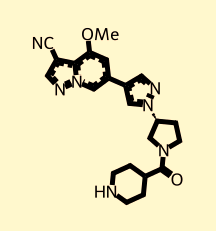 COc1cc(-c2cnn([C@@H]3CCN(C(=O)C4CCNCC4)C3)c2)cn2ncc(C#N)c12